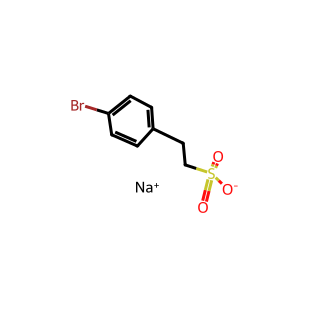 O=S(=O)([O-])CCc1ccc(Br)cc1.[Na+]